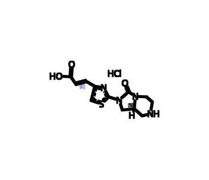 Cl.O=C(O)/C=C/c1csc(N2C[C@@H]3CNCCN3C2=O)n1